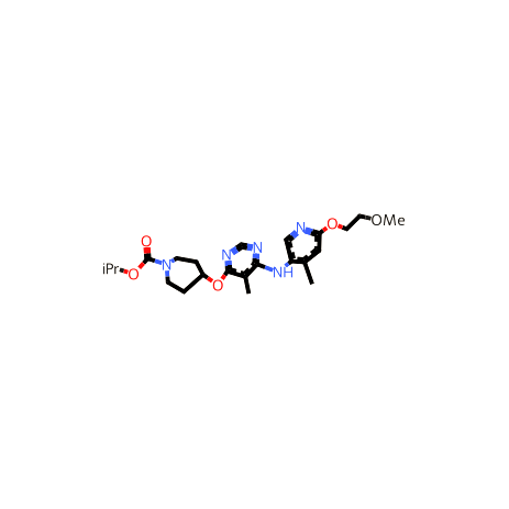 COCCOc1cc(C)c(Nc2ncnc(OC3CCN(C(=O)OC(C)C)CC3)c2C)cn1